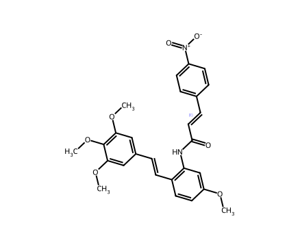 COc1ccc(C=Cc2cc(OC)c(OC)c(OC)c2)c(NC(=O)/C=C/c2ccc([N+](=O)[O-])cc2)c1